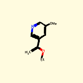 C=C(OCC)c1cncc(OC)c1